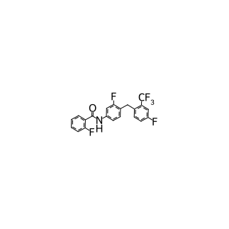 O=C(Nc1ccc(Cc2ccc(F)cc2C(F)(F)F)c(F)c1)c1ccccc1F